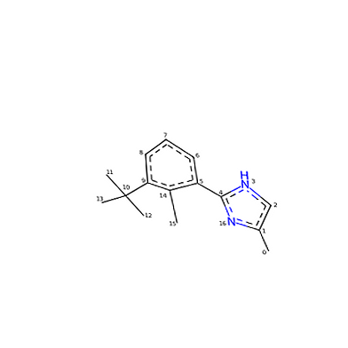 Cc1c[nH]c(-c2cccc(C(C)(C)C)c2C)n1